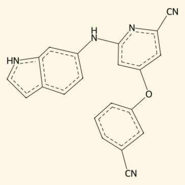 N#Cc1cccc(Oc2cc(C#N)nc(Nc3ccc4cc[nH]c4c3)c2)c1